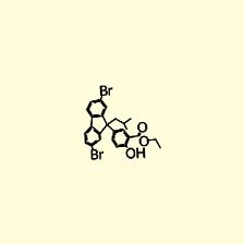 CCOC(=O)c1cc(C2(CC(C)C)c3cc(Br)ccc3-c3ccc(Br)cc32)ccc1O